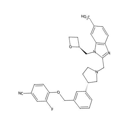 N#Cc1ccc(OCc2cccc([C@@H]3CCN(Cc4nc5ccc(C(=O)O)cc5n4C[C@@H]4CCO4)C3)c2)c(F)c1